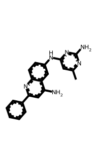 Cc1cc(Nc2ccc3nc(-c4ccccc4)cc(N)c3c2)nc(N)n1